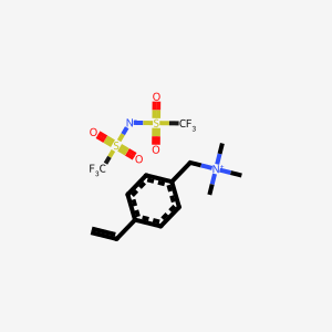 C=Cc1ccc(C[N+](C)(C)C)cc1.O=S(=O)([N-]S(=O)(=O)C(F)(F)F)C(F)(F)F